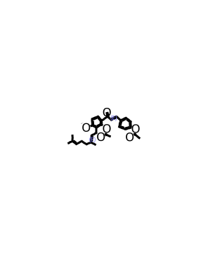 COc1ccc(C(=O)/C=C/c2ccc(OC(C)=O)cc2)c(OC(C)=O)c1C/C=C(\C)CCC=C(C)C